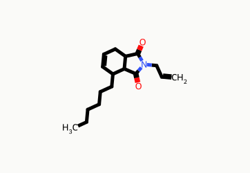 C=CCN1C(=O)C2CC=CC(CCCCCC)C2C1=O